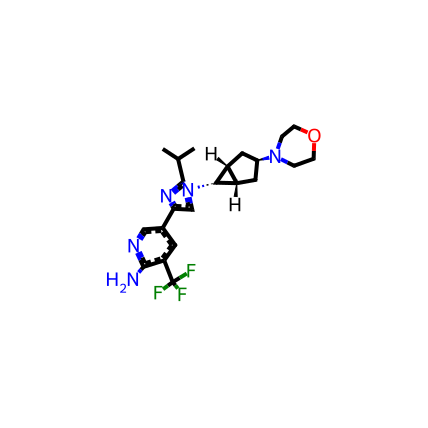 CC(C)c1nc(-c2cnc(N)c(C(F)(F)F)c2)cn1[C@@H]1[C@@H]2C[C@@H](N3CCOCC3)C[C@@H]21